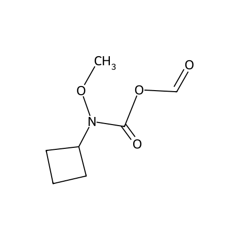 CON(C(=O)OC=O)C1CCC1